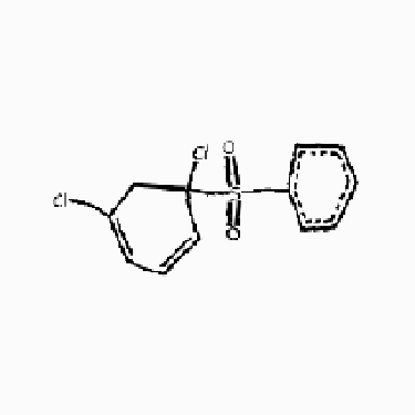 O=S(=O)(c1ccccc1)C1(Cl)C=CC=C(Cl)C1